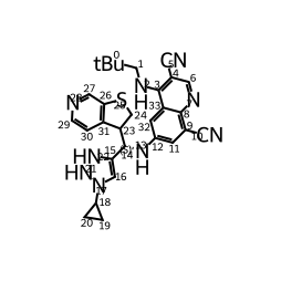 CC(C)(C)CNc1c(C#N)cnc2c(C#N)cc(N[C@H](C3=CN(C4CC4)NN3)C3CSc4cnccc43)cc12